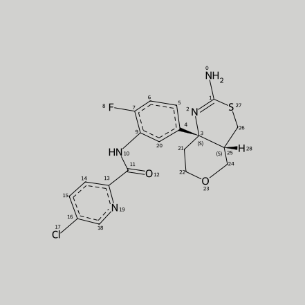 NC1=N[C@@]2(c3ccc(F)c(NC(=O)c4ccc(Cl)cn4)c3)CCOC[C@H]2CS1